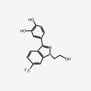 OCCn1nc(-c2ccc(O)c(O)c2)c2ccc(C(F)(F)F)cc21